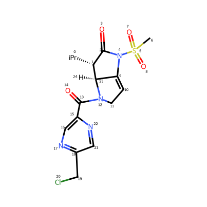 CC(C)[C@@H]1C(=O)N(S(C)(=O)=O)C2=CCN(C(=O)c3cnc(CCl)cn3)[C@H]21